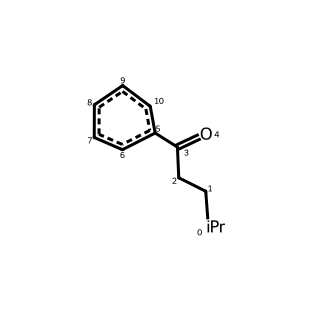 CC(C)CCC(=O)c1ccccc1